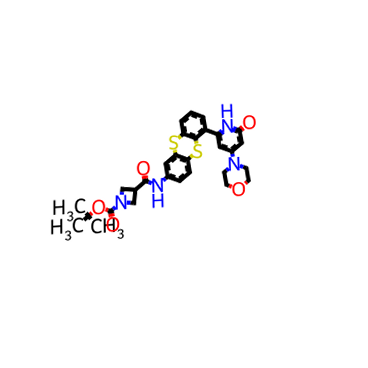 CC(C)(C)OC(=O)N1CC(C(=O)Nc2ccc3c(c2)Sc2cccc(-c4cc(N5CCOCC5)cc(=O)[nH]4)c2S3)C1